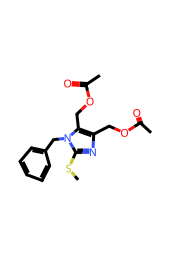 CSc1nc(COC(C)=O)c(COC(C)=O)n1Cc1ccccc1